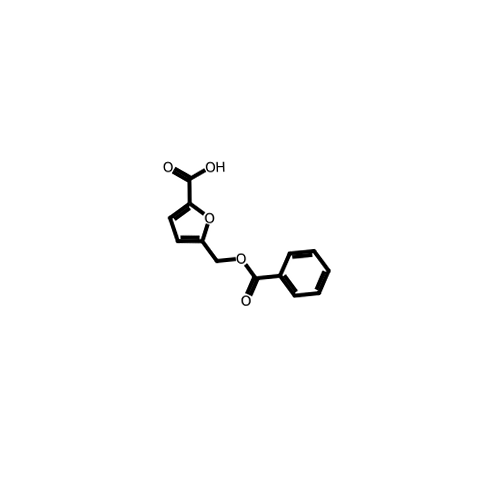 O=C(OCc1ccc(C(=O)O)o1)c1ccccc1